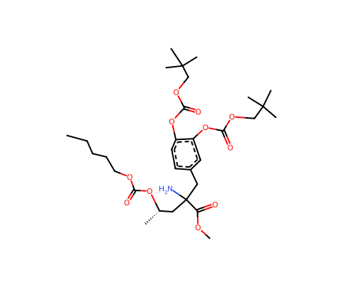 CCCCCOC(=O)O[C@@H](C)CC(N)(Cc1ccc(OC(=O)OCC(C)(C)C)c(OC(=O)OCC(C)(C)C)c1)C(=O)OC